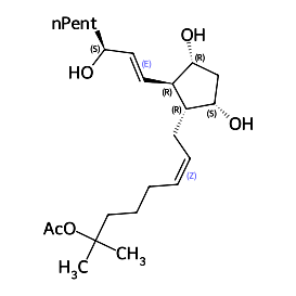 CCCCC[C@H](O)/C=C/[C@@H]1[C@@H](C/C=C\CCCC(C)(C)OC(C)=O)[C@@H](O)C[C@H]1O